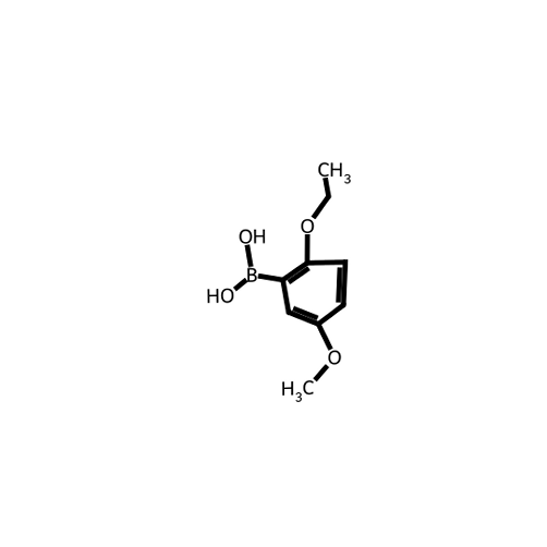 CCOc1ccc(OC)cc1B(O)O